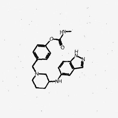 CNC(=O)Oc1ccc(CN2CCCC(Nc3ccc4[nH]ncc4c3)C2)cc1